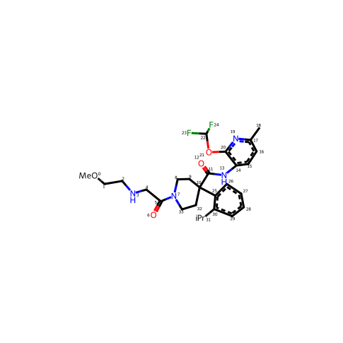 COCCNCC(=O)N1CCC(C(=O)Nc2ccc(C)nc2OC(F)F)(c2ccccc2C(C)C)CC1